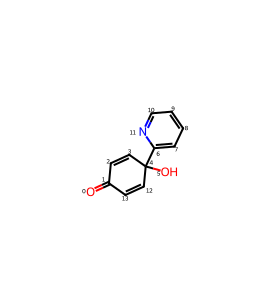 O=C1C=CC(O)(c2ccccn2)C=C1